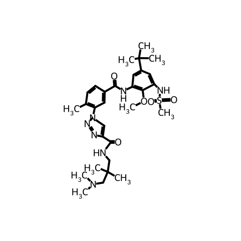 COc1c(NC(=O)c2ccc(C)c(-n3cc(C(=O)NCC(C)(C)CN(C)C)nn3)c2)cc(C(C)(C)C)cc1NS(C)(=O)=O